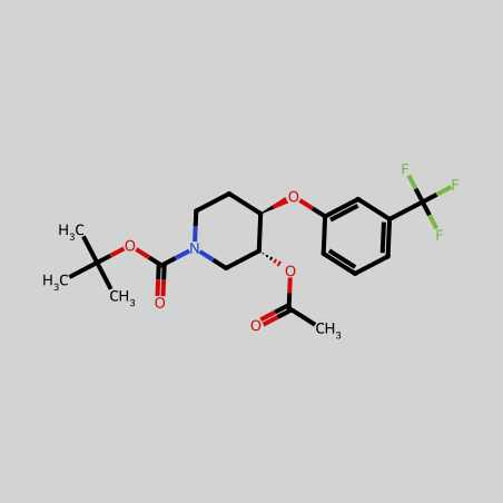 CC(=O)O[C@@H]1CN(C(=O)OC(C)(C)C)CC[C@H]1Oc1cccc(C(F)(F)F)c1